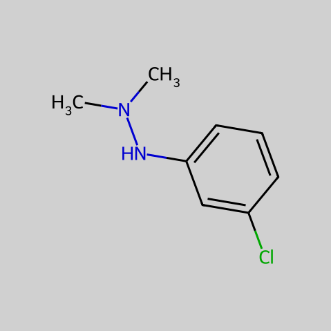 CN(C)Nc1cccc(Cl)c1